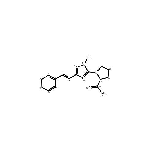 Cn1nc(/C=C/c2ccccc2)nc1N1CCC[C@H]1C(N)=O